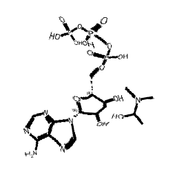 CC(O)N(C)C.Nc1ncnc2c1ncn2[C@@H]1O[C@H](COP(=O)(O)OP(=O)(O)OP(=O)(O)O)C(O)C1O